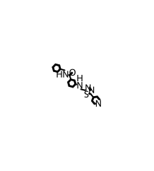 O=C(NCc1ccccc1)c1cccc(NCc2nnc(-c3ccncc3)s2)c1